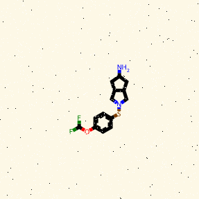 NC1CC2CN(Sc3ccc(OC(F)F)cc3)CC2C1